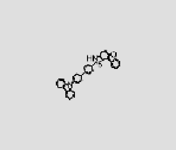 c1ccc2c(c1)oc1ccc3c(c12)SC(c1ccc(-c2ccc(-n4c5ccccc5c5ccccc54)cc2)cc1)N3